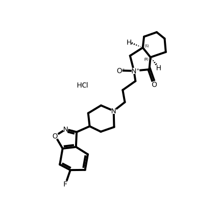 Cl.O=C1[C@@H]2CCCC[C@@H]2C[N+]1([O-])CCCN1CCC(c2noc3cc(F)ccc23)CC1